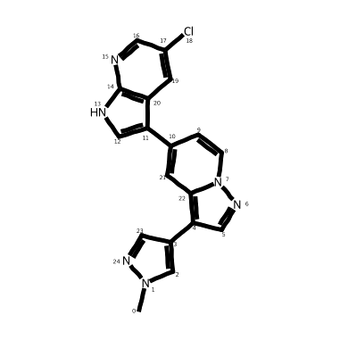 Cn1cc(-c2cnn3ccc(-c4c[nH]c5ncc(Cl)cc45)cc23)cn1